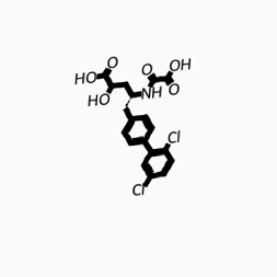 O=C(O)C(=O)N[C@H](Cc1ccc(-c2cc(Cl)ccc2Cl)cc1)CC(O)C(=O)O